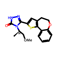 COC[C@@H](C)n1c(-c2cc3c(s2)-c2ccccc2OCC3)n[nH]c1=O